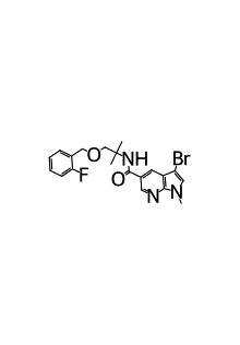 Cn1cc(Br)c2cc(C(=O)NC(C)(C)COCc3ccccc3F)cnc21